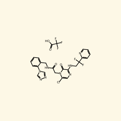 O=C(Cn1c(Cl)cnc(NCC(F)(F)c2ccccn2)c1=O)NCc1ccccc1-n1cnnc1.O=C(O)C(F)(F)F